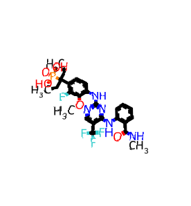 CCC(CC)(c1ccc(Nc2ncc(C(F)(F)F)c(Nc3ccccc3C(=O)NC)n2)c(OC)c1F)P(=O)(O)O